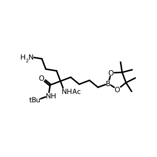 CC(=O)NC(CCCN)(CCCCB1OC(C)(C)C(C)(C)O1)C(=O)NC(C)(C)C